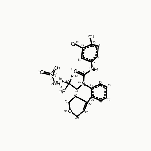 N[SH](=O)=O.O=C(Nc1ccc(F)c(Cl)c1)N(CC(F)(F)F)c1ccccc1C1=CCOCC1